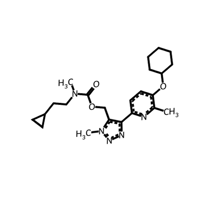 Cc1nc(-c2nnn(C)c2COC(=O)N(C)CCC2CC2)ccc1OC1CCCCC1